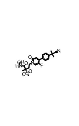 CC(C)(C#N)c1ccc(-c2cc(=O)n(CCC(C)(C(=O)NO)S(C)(=O)=O)cc2F)cc1